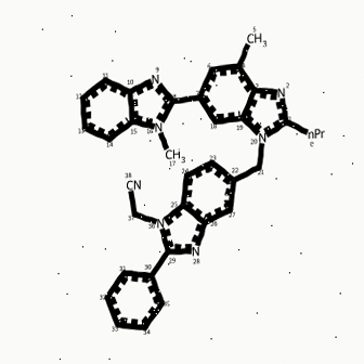 CCCc1nc2c(C)cc(-c3nc4ccccc4n3C)cc2n1Cc1ccc2c(c1)nc(-c1ccccc1)n2CC#N